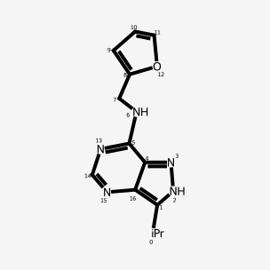 CC(C)c1[nH]nc2c(NCc3ccco3)ncnc12